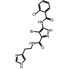 O=C(Nc1[nH]nc(C(=O)NCCc2c[nH]cn2)c1Br)c1ccccc1Cl